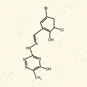 Cc1nnc(N/N=C/C2=C(O)C(Cl)CC(Br)=C2)nc1O